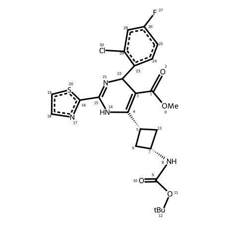 COC(=O)C1=C([C@H]2C[C@@H](NC(=O)OC(C)(C)C)C2)NC(c2nccs2)=NC1c1ccc(F)cc1Cl